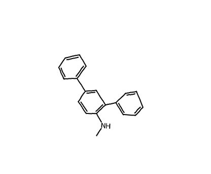 CNc1ccc(-c2ccccc2)cc1-c1ccccc1